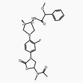 COC(C(=O)N[C@H]1CN(c2ccc(N3CC(N(C)C(C)=O)OC3=O)cc2F)C[C@H]1C)c1ccccc1